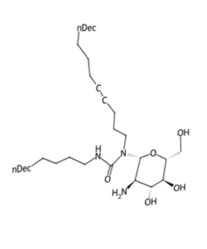 CCCCCCCCCCCCCCCCCCN(C(=O)NCCCCCCCCCCCCCC)[C@@H]1O[C@H](CO)[C@@H](O)[C@H](O)[C@H]1N